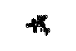 COc1ccc(C(OC[C@H]2O[C@@H](n3ccc(=O)[nH]c3=O)[C@H](OCOCCNC(=O)C(F)(F)F)[C@@H]2O)(c2ccccc2)c2ccc(OC)cc2)cc1